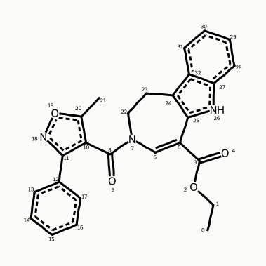 CCOC(=O)C1=CN(C(=O)c2c(-c3ccccc3)noc2C)CCc2c1[nH]c1ccccc21